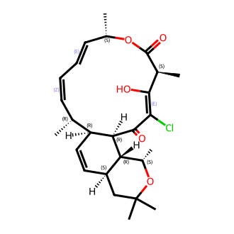 C[C@@H]1C(=O)O[C@@H](C)/C=C/C=C\[C@@H](C)[C@@H]2C=C[C@@H]3CC(C)(C)O[C@@H](C)[C@H]3[C@@H]2C(=O)/C(Cl)=C/1O